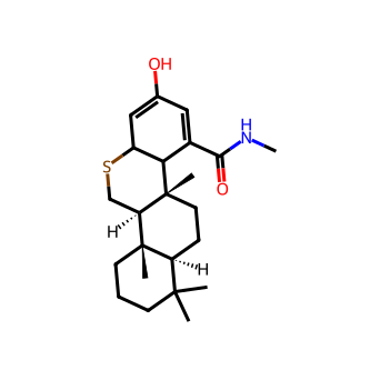 CNC(=O)C1=CC(O)=CC2SC[C@@H]3[C@@]4(C)CCCC(C)(C)[C@@H]4CC[C@@]3(C)C12